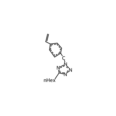 C=Cc1ccc(Cn2nnc(CCCCCC)n2)cc1